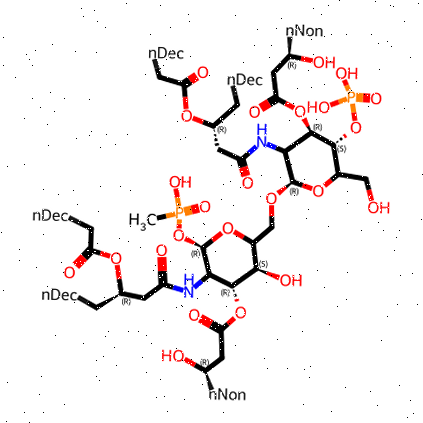 CCCCCCCCCCCC(=O)O[C@H](CCCCCCCCCCC)CC(=O)NC1[C@@H](OP(C)(=O)O)OC(CO[C@@H]2OC(CO)[C@@H](OP(=O)(O)O)[C@H](OC(=O)C[C@H](O)CCCCCCCCC)C2NC(=O)C[C@@H](CCCCCCCCCCC)OC(=O)CCCCCCCCCCC)[C@@H](O)[C@@H]1OC(=O)C[C@H](O)CCCCCCCCC